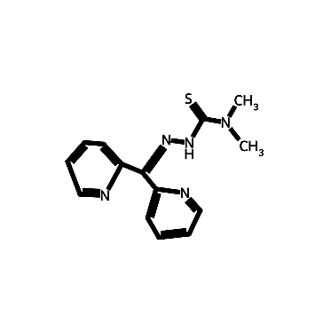 CN(C)C(=S)NN=C(c1ccccn1)c1ccccn1